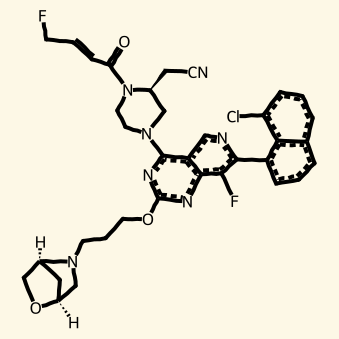 N#CC[C@H]1CN(c2nc(OCCCN3C[C@@H]4C[C@H]3CO4)nc3c(F)c(-c4cccc5cccc(Cl)c45)ncc23)CCN1C(=O)/C=C/CF